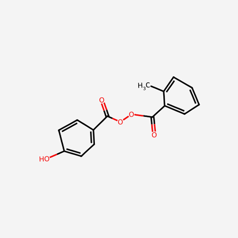 Cc1ccccc1C(=O)OOC(=O)c1ccc(O)cc1